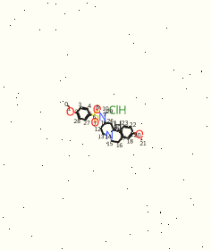 COc1ccc(S(=O)(=O)N(C)[C@@H]2CCN3CCc4cc(OC)ccc4[C@@H]3C2)cc1.Cl